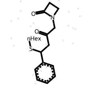 CCCCCCSC(CC(=O)CN1CCC1=O)c1ccccc1